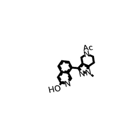 CC(=O)N1CCc2c(c(-c3cccc4cc(O)ncc34)nn2C)C1